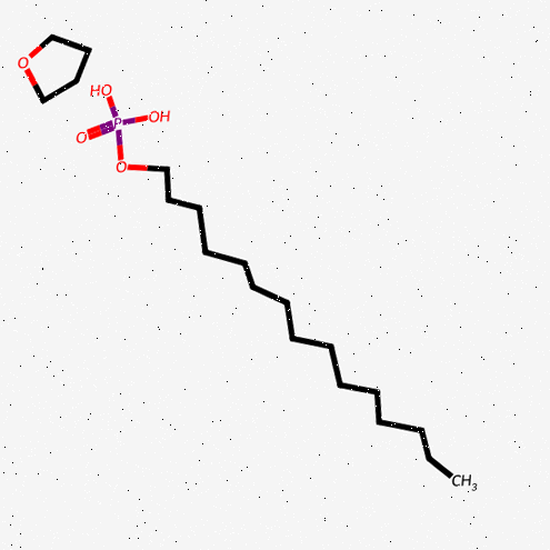 C1CCOC1.CCCCCCCCCCCCCCCOP(=O)(O)O